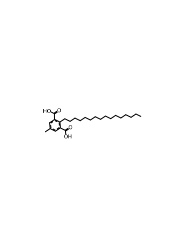 CCCCCCCCCCCCCCCCc1c(C(=O)O)cc(C)cc1C(=O)O